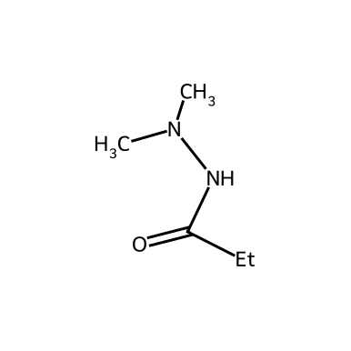 CCC(=O)NN(C)C